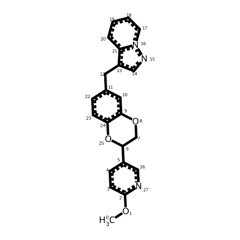 COc1ccc(C2COc3cc(Cc4cnn5ccccc45)ccc3O2)cn1